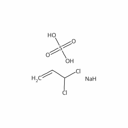 C=CC(Cl)Cl.O=S(=O)(O)O.[NaH]